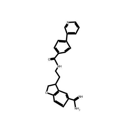 N=C(N)c1ccc2c(c1)C(CCNC(=O)c1ccc(-c3cccnc3)cc1)CO2